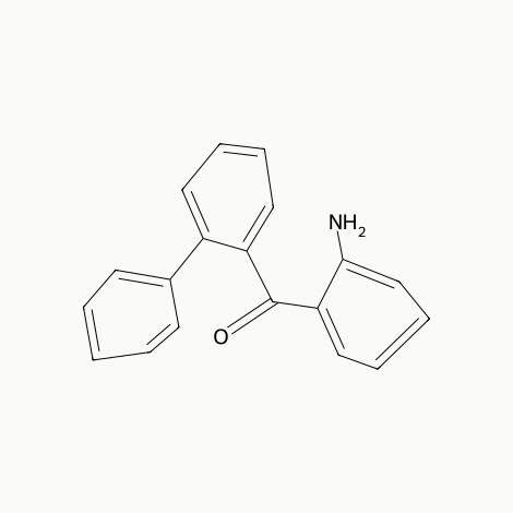 Nc1ccccc1C(=O)c1ccccc1-c1ccccc1